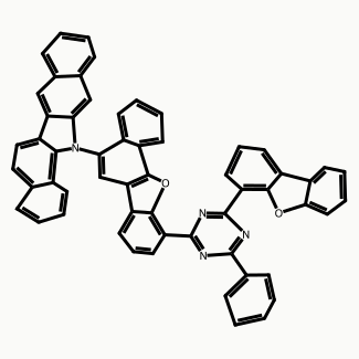 c1ccc(-c2nc(-c3cccc4c3oc3ccccc34)nc(-c3cccc4c3oc3c5ccccc5c(-n5c6cc7ccccc7cc6c6ccc7ccccc7c65)cc43)n2)cc1